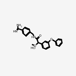 COC(C(=O)NCc1ccc(C(=N)N)cc1)c1cccc(Oc2ccccc2)c1.Cl